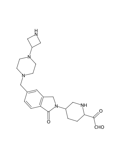 O=CC(=O)C1CCC(N2Cc3cc(CN4CCN(C5CNC5)CC4)ccc3C2=O)CN1